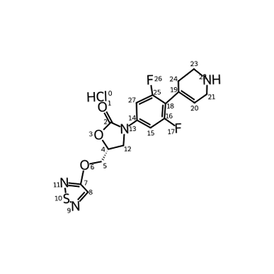 Cl.O=C1O[C@@H](COc2cnsn2)CN1c1cc(F)c(C2=CCNCC2)c(F)c1